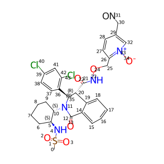 CS(=O)(=O)N[C@H]1CCCC[C@@H]1N1C(=O)c2ccccc2[C@@H](C(=O)NOCc2ccc(CN=O)c[n+]2[O-])[C@@H]1c1ccc(Cl)cc1Cl